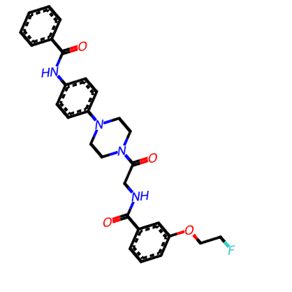 O=C(NCC(=O)N1CCN(c2ccc(NC(=O)c3ccccc3)cc2)CC1)c1cccc(OCCF)c1